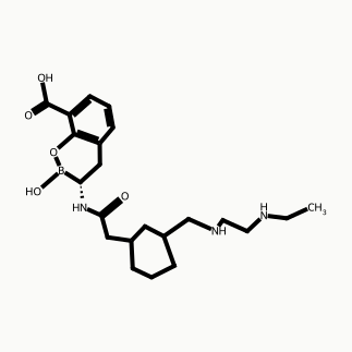 CCNCCNCC1CCCC(CC(=O)N[C@H]2Cc3cccc(C(=O)O)c3OB2O)C1